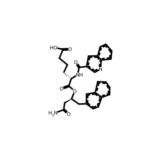 NC(=O)C[C@H](Cc1ccc2ccccc2c1)OC(=O)[C@H](CCCC(=O)O)NC(=O)c1cnc2ccccc2c1